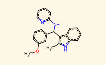 COc1cccc(C(Nc2ccccn2)c2c(C)[nH]c3ccccc23)c1